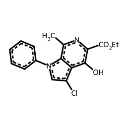 CCOC(=O)c1nc(C)c2c(c(Cl)cn2-c2ccccc2)c1O